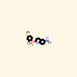 CCNc1ccc2nc(Oc3ccc(SC(C)C)cc3C)ccc2c1